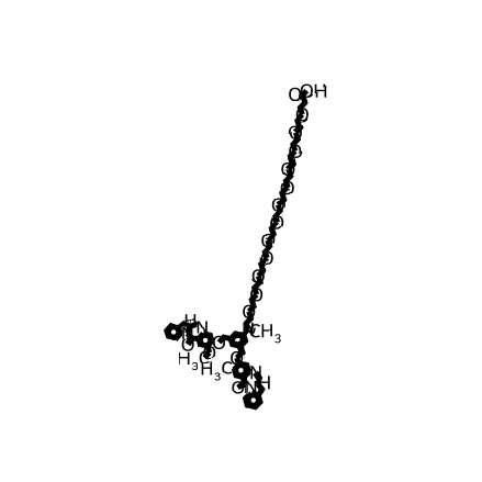 COc1cc2c(cc1OCc1cc(COc3cc4c(cc3C)C(=O)N3c5ccccc5C[C@H]3C=N4)cc(N(C)CCOCCOCCOCCOCCOCCOCCOCCOCCOCCOCCOCCOCCC(=O)O)c1)N=C[C@@H]1Cc3ccccc3N1C2=O